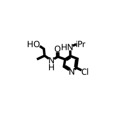 CC(C)Nc1cc(Cl)ncc1C(=O)NC(C)CO